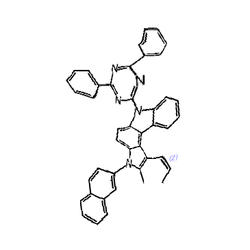 C/C=C\c1c(C)n(-c2ccc3ccccc3c2)c2ccc3c(c4ccccc4n3-c3nc(-c4ccccc4)nc(-c4ccccc4)n3)c12